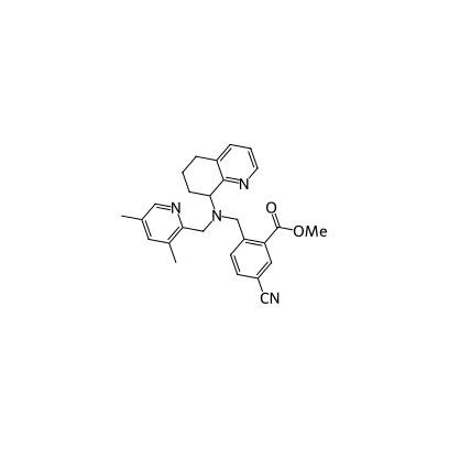 COC(=O)c1cc(C#N)ccc1CN(Cc1ncc(C)cc1C)C1CCCc2cccnc21